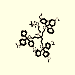 COc1ccc(C(OCCCC(CCCOC(c2ccccc2)(c2ccc(OC)cc2)c2ccc(OC)cc2)(CCCOC(c2ccccc2)(c2ccc(OC)cc2)c2ccc(OC)cc2)N(C)CCCO[Si](C)(C)C(C)(C)C)(c2ccccc2)c2ccc(OC)cc2)cc1